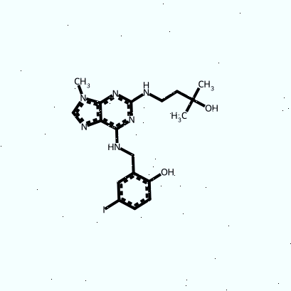 Cn1cnc2c(NCc3cc(I)ccc3O)nc(NCCC(C)(C)O)nc21